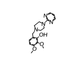 COc1ccc(CN2CCN(c3ncccn3)CC2)c(O)c1OC